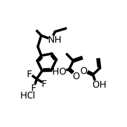 C=C(C)C(=O)O.C=CC(=O)O.CCNC(C)Cc1cccc(C(F)(F)F)c1.Cl